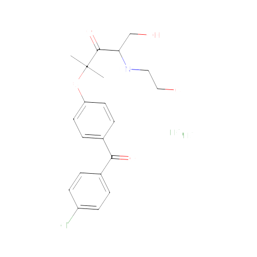 CC(C)(Oc1ccc(C(=O)c2ccc(Cl)cc2)cc1)C(=O)C(CO)NCCO.Cl.Cl